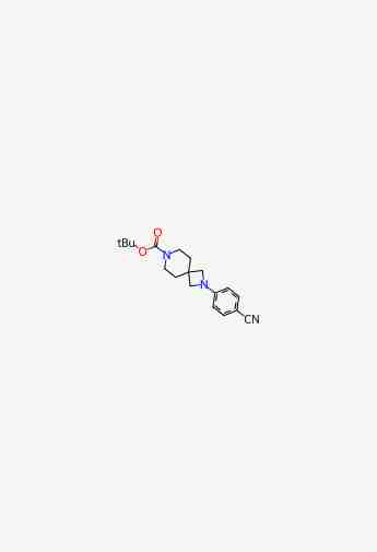 CC(C)(C)OC(=O)N1CCC2(CC1)CN(c1ccc(C#N)cc1)C2